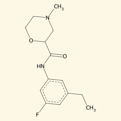 CCc1cc(F)cc(NC(=O)C2CN(C)CCO2)c1